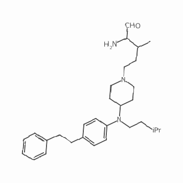 CC(C)CCN(c1ccc(CCc2ccccc2)cc1)C1CCN(CCC(C)C(N)C=O)CC1